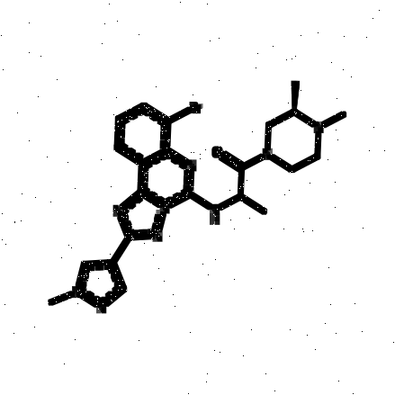 CC(Nc1nc2c(Br)cccc2c2nc(-c3cnn(C)c3)nn12)C(=O)N1CCN(C)[C@H](C)C1